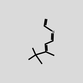 C=C/N=C\C=C(/C)C(C)(C)C